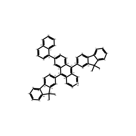 CC1(C)c2ccccc2-c2ccc(-c3c4ccc(-c5cccc6ccccc56)cc4c(-c4ccc5c(c4)C(C)(C)c4ccccc4-5)c4ccncc34)cc21